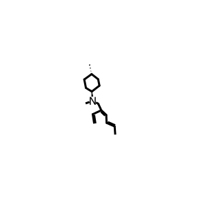 C=C/C(=C\C=CC)CN(C)[C@H]1CC[C@H](C)CC1